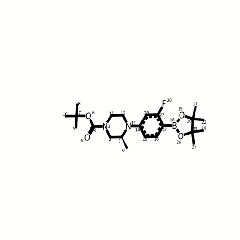 C[C@H]1CN(C(=O)OC(C)(C)C)CCN1c1ccc(B2OC(C)(C)C(C)(C)O2)c(F)c1